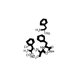 COC(=O)C(Cc1ccccc1)NC(=O)C(N)CC(=O)O.N[C@@H](Cc1ccccc1)C(=O)[O-].N[C@@H](Cc1ccccc1)C(=O)[O-].[Ca+2]